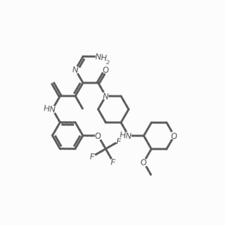 C=C(Nc1cccc(OC(F)(F)F)c1)/C(C)=C(\N=C/N)C(=O)N1CCC(NC2CCOCC2OC)CC1